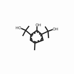 Cc1cc(C(C)(C)O)c(O)c(C(C)(C)O)c1